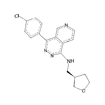 Clc1ccc(-c2nnc(NC[C@H]3CCOC3)c3ccncc23)cc1